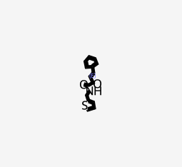 O=C(/C=C/c1ccccc1)C(=O)NCc1cccs1